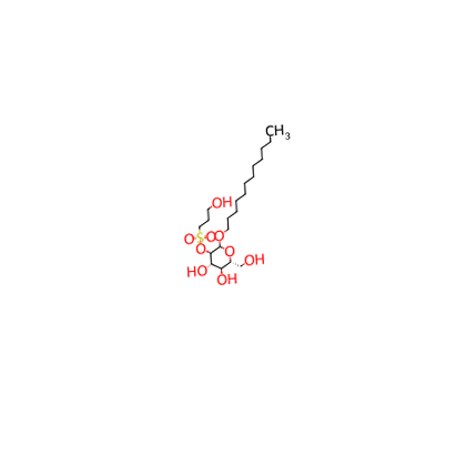 CCCCCCCCCCCCOC1O[C@H](CO)[C@@H](O)[C@H](O)[C@H]1OS(=O)(=O)CCCO